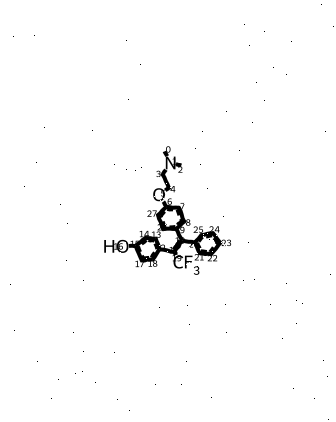 CN(C)CCOc1ccc(C(=C(c2ccc(O)cc2)C(F)(F)F)c2ccccc2)cc1